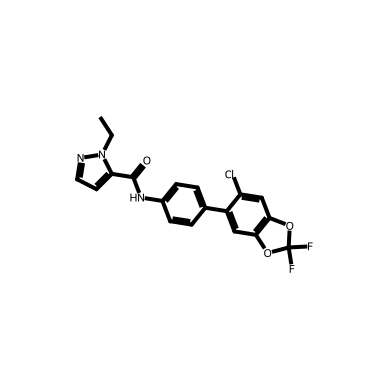 CCn1nccc1C(=O)Nc1ccc(-c2cc3c(cc2Cl)OC(F)(F)O3)cc1